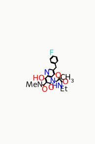 CCNC(=O)[C@@]1(C)Cn2c(=O)c(C(=O)NC)c(O)c3ncc(Cc4ccc(F)cc4)c(c32)O1